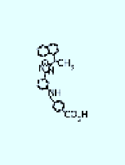 CC(c1nc(-c2cccc(NCc3ccc(C(=O)O)cc3)c2)no1)c1cccc2ccccc12